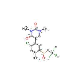 Cc1cc(F)c(-c2cn(C)c(=O)n(C)c2=O)cc1[S@+]([O-])CC(F)(F)F